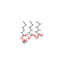 CCCCCC(=O)[O-].CCCCCC(=O)[O-].CCCCCC(=O)[O-].[OH][Ti+3]